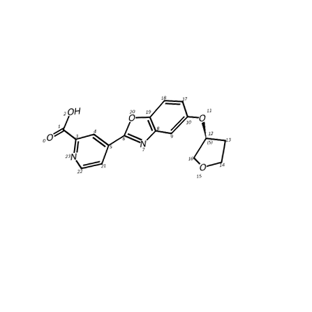 O=C(O)c1cc(-c2nc3cc(O[C@H]4CCOC4)ccc3o2)ccn1